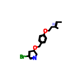 C/C=C(\C)CCOc1ccc(COC2C=C(Br)C=NC2)cc1